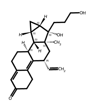 C=C[C@H]1C[C@@]2(C)[C@@H]([C@@H]3C[C@@H]3[C@@]2(O)CCCO)[C@@H]2CCC3=CC(=O)CCC3=C21